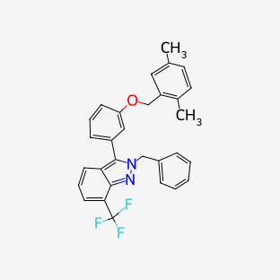 Cc1ccc(C)c(COc2cccc(-c3c4cccc(C(F)(F)F)c4nn3Cc3ccccc3)c2)c1